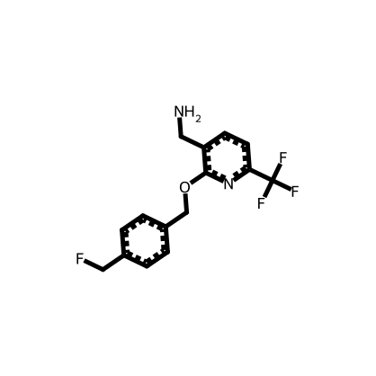 NCc1ccc(C(F)(F)F)nc1OCc1ccc(CF)cc1